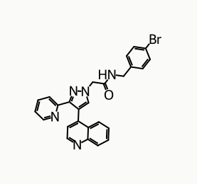 O=C(Cn1cc(-c2ccnc3ccccc23)c(-c2ccccn2)n1)NCc1ccc(Br)cc1